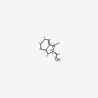 CN1C2=CCCCC2C[C@@H]1CO